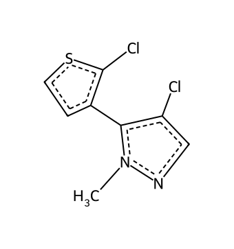 Cn1ncc(Cl)c1-c1ccsc1Cl